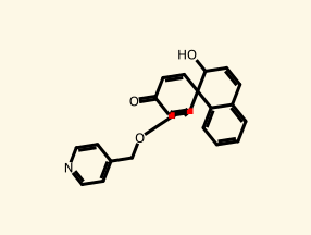 O=C1C=CC2(c3ccccc3C=CC2O)c2cccc(OCc3ccncc3)c21